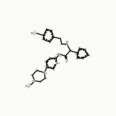 Cc1ccc(CCNC(C(=O)Nc2ccc(N3CCN(C)CC3)cn2)c2ccccc2)cc1